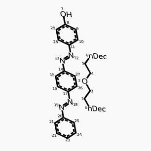 CCCCCCCCCCCCOCCCCCCCCCCCC.Oc1ccc(N=Nc2ccc(N=Nc3ccccc3)cc2)cc1